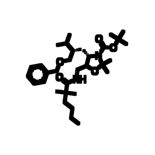 CCCCC(C)(C)C(=O)NCC1OC(C)(C)N(C(=O)OC(C)(C)C)[C@H]1C[C@H](COCc1ccccc1)C(C)C